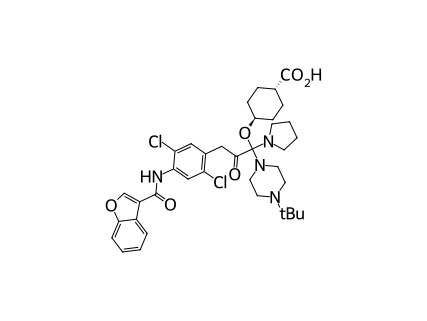 CC(C)(C)N1CCN(C(O[C@H]2CC[C@H](C(=O)O)CC2)(C(=O)Cc2cc(Cl)c(NC(=O)c3coc4ccccc34)cc2Cl)N2CCCC2)CC1